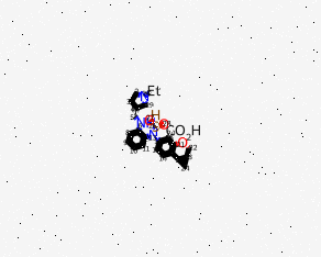 CCN1CC[C@@H](CNc2ccccc2N(c2ccc3c(c2C(=O)O)OCC2CC32)[SH](=O)=O)C1